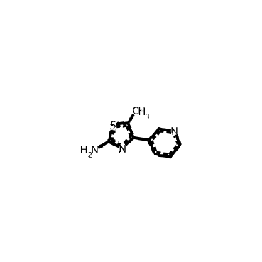 Cc1sc(N)nc1-c1cccnc1